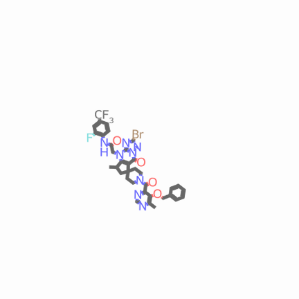 Cc1ncnc(C(=O)N2CCC3(CC2)CC(C)c2c3c(=O)n3nc(Br)nc3n2CC(=O)Nc2ccc(C(F)(F)F)cc2F)c1OCc1ccccc1